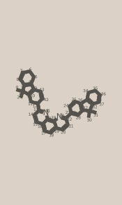 CC1(C)C2=C(CCC=C2)C2=C1CC(c1ccc3ccc4ccc(-c5ccc6c(c5)C(C)(C)C5=C6CCC=C5)nc4c3n1)C=C2